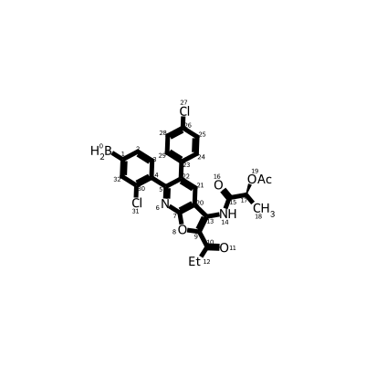 Bc1ccc(-c2nc3oc(C(=O)CC)c(NC(=O)[C@H](C)OC(C)=O)c3cc2-c2ccc(Cl)cc2)c(Cl)c1